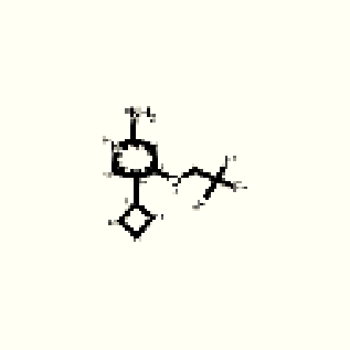 Nc1cc(OCC(F)(F)F)c(C2CCC2)cn1